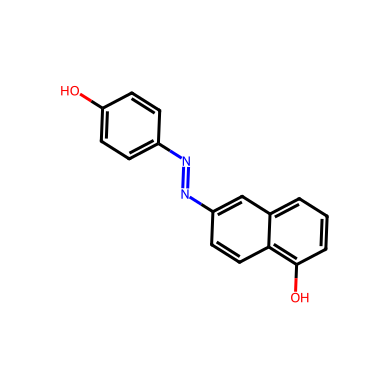 Oc1ccc(N=Nc2ccc3c(O)cccc3c2)cc1